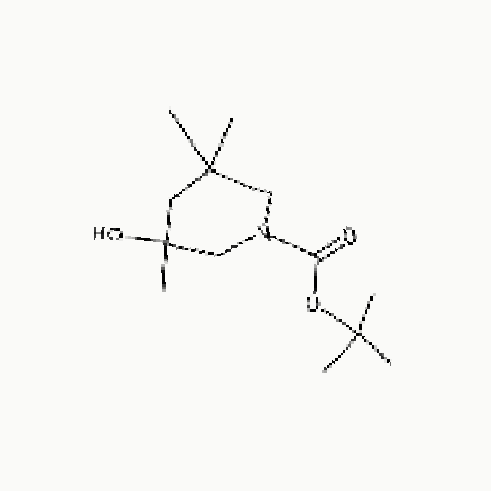 CC1(C)CN(C(=O)OC(C)(C)C)CC(C)(O)C1